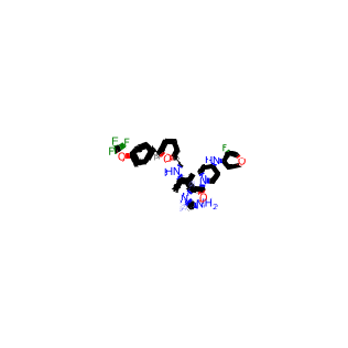 C=C(NC[C@H]1CCC[C@@H](C2C=CC(OC(F)(F)F)=CC2)O1)/C(C)=C(\N=C/N)C(=O)N1CCC(NC2CCOCC2F)CC1